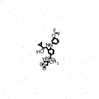 CC1(NC(=O)c2ccc3c(c2)c([C@@H](O)C2CC2)nn3-c2cccc(OC(F)F)c2)CS(=O)(=O)C1